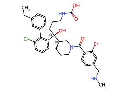 CCc1cccc(-c2c(Cl)cccc2[C@](O)(CCCNC(=O)O)[C@@H]2CCCN(C(=O)c3ccc(CNC)cc3Br)C2)c1